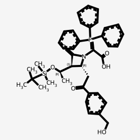 C[C@@H](O[Si](C)(C)C(C)(C)C)[C@H]1C(=O)N(C(C(=O)O)=P(c2ccccc2)(c2ccccc2)c2ccccc2)[C@@H]1CC(=O)c1ccc(CO)cc1